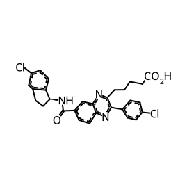 O=C(O)CCCCc1nc2cc(C(=O)N[C@H]3CCc4cc(Cl)ccc43)ccc2nc1-c1ccc(Cl)cc1